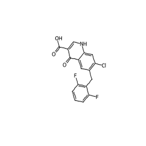 O=C(O)c1c[nH]c2cc(Cl)c(Cc3c(F)cccc3F)cc2c1=O